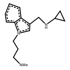 CNCCCn1cc(CNC2CC2)c2ccccc21